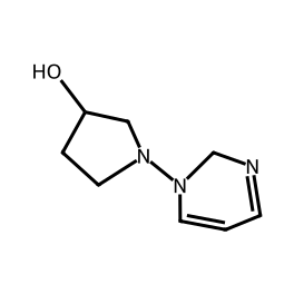 OC1CCN(N2C=CC=NC2)C1